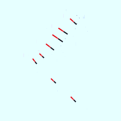 O=C(O)O.O=C(O)O.O=C(O)O.O=C(O)O.O=C(O)O.O=C(O)O.O=C(O)O.O=C(O)O.[NaH]